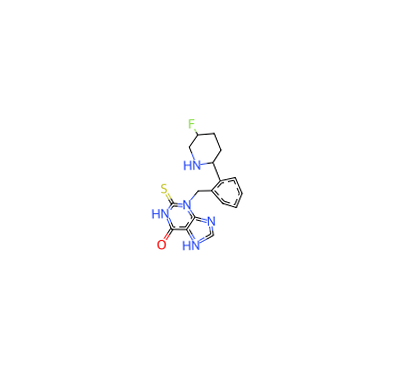 O=c1[nH]c(=S)n(Cc2ccccc2C2CCC(F)CN2)c2nc[nH]c12